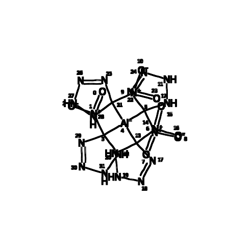 O=[N+]([O-])[C]1([Al-]([C]2([N+](=O)[O-])N=NNN2)([C]2([N+](=O)[O-])N=NNN2)[C]2([N+](=O)[O-])N=NNN2)N=NNN1